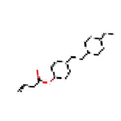 C=CCC(=O)OC1CCC(CCC2CCC(CC)CC2)CC1